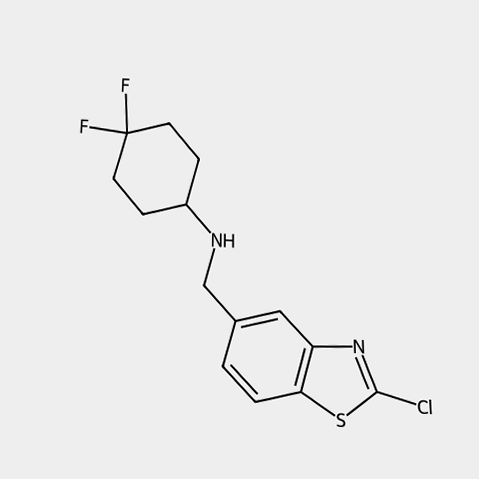 FC1(F)CCC(NCc2ccc3sc(Cl)nc3c2)CC1